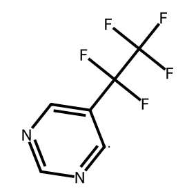 FC(F)(F)C(F)(F)c1[c]ncnc1